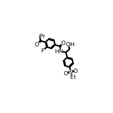 CCS(=O)(=O)c1ccc(C(CO)NC(=O)c2ccc(C(=O)C(C)C)c(F)c2)cc1